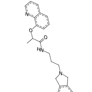 CC(Oc1cccc2cccnc12)C(=O)NCCCN1Cc2ccccc2C1